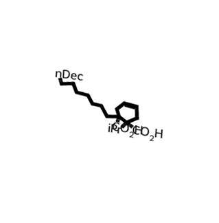 CCCCCCCCCCCCCCCCCC1(C(=O)O)CC=CCC1(C(=O)O)C(C)C